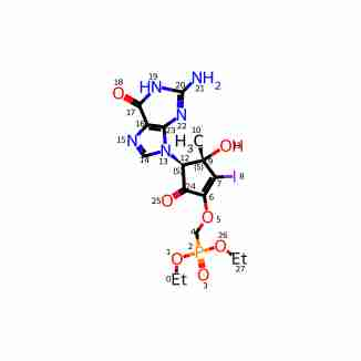 CCOP(=O)(COC1=C(I)[C@@](C)(O)[C@H](n2cnc3c(=O)[nH]c(N)nc32)C1=O)OCC